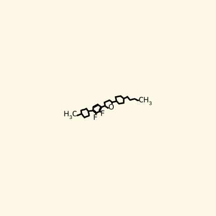 CCCCCC1CCC(C2CCC(c3ccc(C4CCC(CC)CC4)c(F)c3F)CO2)CC1